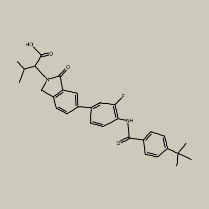 CC(C)C(C(=O)O)N1Cc2ccc(-c3ccc(NC(=O)c4ccc(C(C)(C)C)cc4)c(F)c3)cc2C1=O